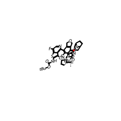 C[C@@H](Oc1nc(N2C3CCC2CN(C(=O)OC(C)(C)C)C3)c2c3c(c(-c4ncc(F)c5sc(NC(=O)OC(C)(C)C)c(C#N)c45)c(F)c2n1)COC3)[C@@H]1CCCN1C